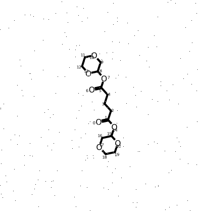 O=C(CCCC(=O)OC1COCCO1)OC1COCCO1